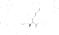 CCCCCCCCCCCCCCC(C(=O)OCCCCCCCCCCC)C(C)CCCCC